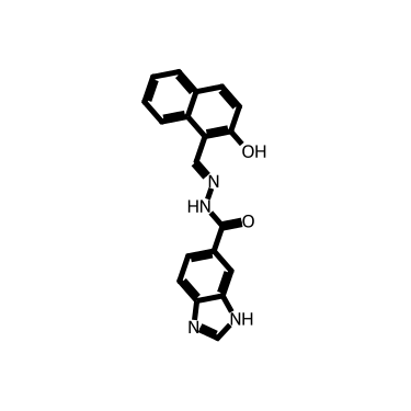 O=C(NN=Cc1c(O)ccc2ccccc12)c1ccc2nc[nH]c2c1